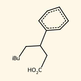 CCC(C)CC(CC(=O)O)c1ccccc1